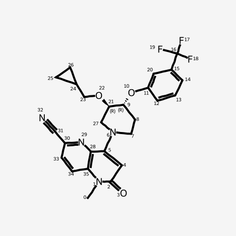 Cn1c(=O)cc(N2CC[C@@H](Oc3cccc(C(F)(F)F)c3)[C@H](OCC3CC3)C2)c2nc(C#N)ccc21